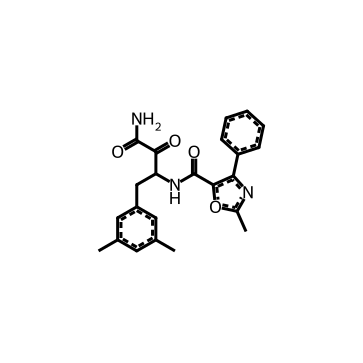 Cc1cc(C)cc(CC(NC(=O)c2oc(C)nc2-c2ccccc2)C(=O)C(N)=O)c1